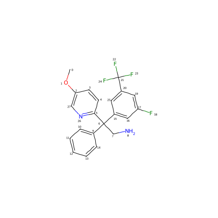 COc1ccc(C(CN)(c2ccccc2)c2cc(F)cc(C(F)(F)F)c2)nc1